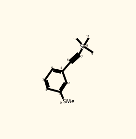 CSc1cccc(C#C[Si](C)(C)C)c1